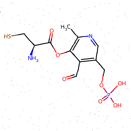 Cc1ncc(COP(=O)(O)O)c(C=O)c1OC(=O)[C@@H](N)CS